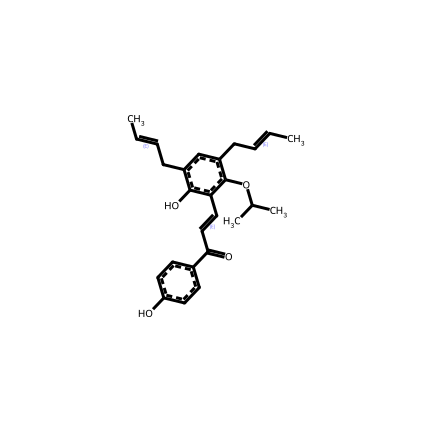 C/C=C/Cc1cc(C/C=C/C)c(OC(C)C)c(/C=C/C(=O)c2ccc(O)cc2)c1O